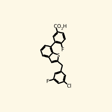 O=C(O)c1ccc(F)c(-c2cccc3cc(Cc4cc(F)cc(Cl)c4)sc23)c1